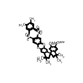 COc1cc2c(cc1OC)C1(CC2(C)C)CC(C)(C)c2cc3c(cc21)Oc1cc2c(cc1O3)S(=O)(=O)c1cc(C)c(C)cc1S2(=O)=O